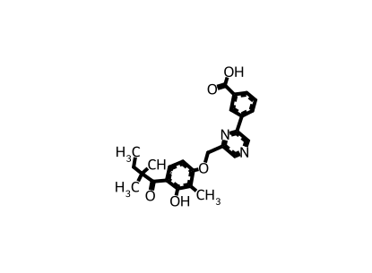 CCC(C)(C)C(=O)c1ccc(OCc2cncc(-c3cccc(C(=O)O)c3)n2)c(C)c1O